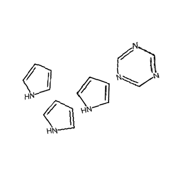 c1cc[nH]c1.c1cc[nH]c1.c1cc[nH]c1.c1ncncn1